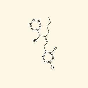 CCCCC(=CCc1ccc(Cl)cc1Cl)C(O)c1cccnc1